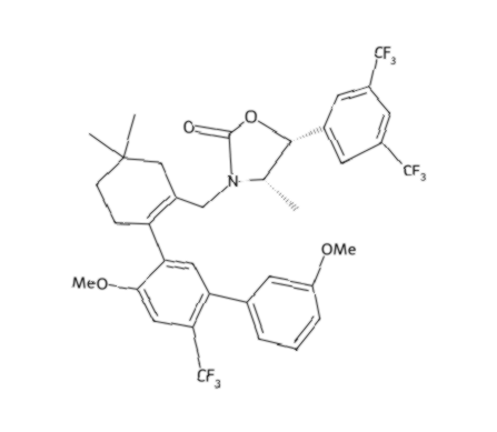 COc1cccc(-c2cc(C3=C(CN4C(=O)O[C@H](c5cc(C(F)(F)F)cc(C(F)(F)F)c5)[C@@H]4C)CC(C)(C)CC3)c(OC)cc2C(F)(F)F)c1